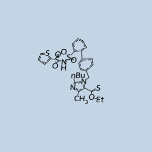 CCCCc1nc(C)c(C(=S)OCC)n1Cc1ccc(-c2ccccc2S(=O)(=O)NS(=O)(=O)c2cccs2)cc1